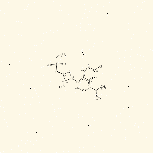 CCS(=O)(=O)C[C@H]1CN(c2ncc(C(C)C)c3cc(Cl)ncc23)[C@@H]1C